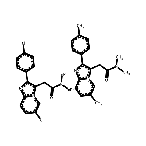 CCCN(CCC)C(=O)Cc1c(-c2ccc(Cl)cc2)nc2ccc(Cl)cn12.Cc1ccc(-c2nc3ccc(C)cn3c2CC(=O)N(C)C)cc1